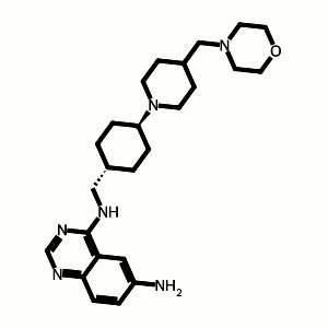 Nc1ccc2ncnc(NC[C@H]3CC[C@H](N4CCC(CN5CCOCC5)CC4)CC3)c2c1